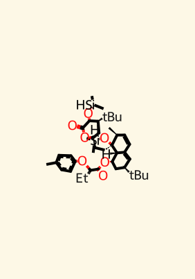 CCC(Oc1ccc(C)cc1)C(=O)O[C@H]1C[C@H](C(C)(C)C)C=C2C=C[C@H](C)[C@](CC[C@@H]3C[C@H](C(C)(C)C)C(O[SiH](C)C)C(=O)O3)(O[SiH](C)C)[C@H]21